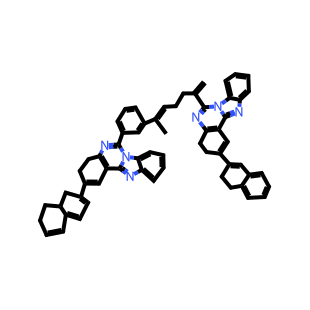 C=C(CC/C=C(\C)c1cccc(-c2nc3c(c4nc5ccccc5n24)C=C(C2=CC=C4C=CCCC4C2)CC3)c1)c1nc2c(c3nc4ccccc4n13)C=C(C1=Cc3ccccc3CC1)CC2